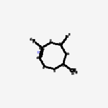 CC1CC/C=C(/F)CC(F)C1